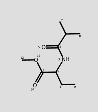 CCC(NC(=O)C(C)C)C(=O)OC